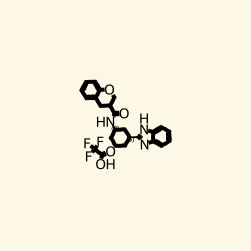 O=C(N[C@@H]1CCC[C@H](c2nc3ccccc3[nH]2)C1)C1COc2ccccc2C1.O=C(O)C(F)(F)F